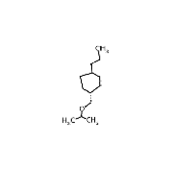 CCC[C@H]1CC[C@H](COC(C)C)CC1